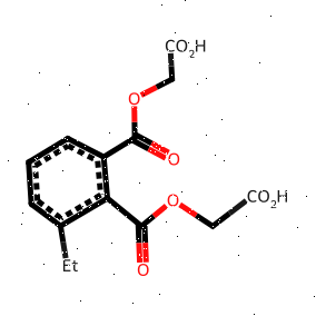 CCc1cccc(C(=O)OCC(=O)O)c1C(=O)OCC(=O)O